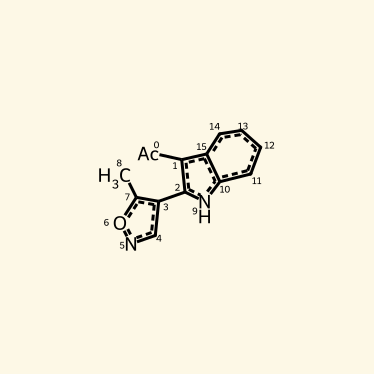 CC(=O)c1c(-c2cnoc2C)[nH]c2ccccc12